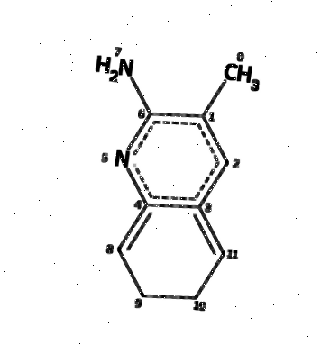 Cc1cc2c(nc1N)=CCCC=2